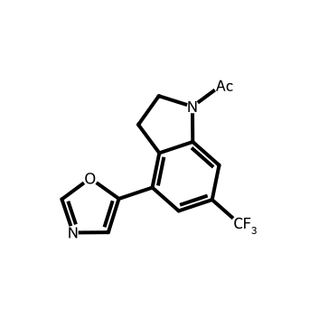 CC(=O)N1CCc2c(-c3cnco3)cc(C(F)(F)F)cc21